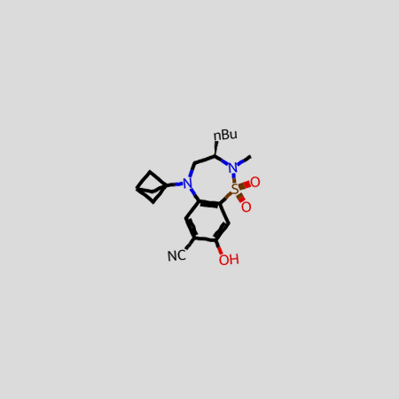 CCCC[C@@H]1CN(C23CC(C2)C3)c2cc(C#N)c(O)cc2S(=O)(=O)N1C